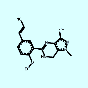 CCCc1nn(C)c2c1N=C(c1cc(C=CC#N)ccc1OCC)NC2